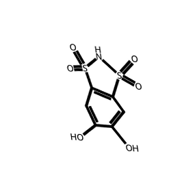 O=S1(=O)NS(=O)(=O)c2cc(O)c(O)cc21